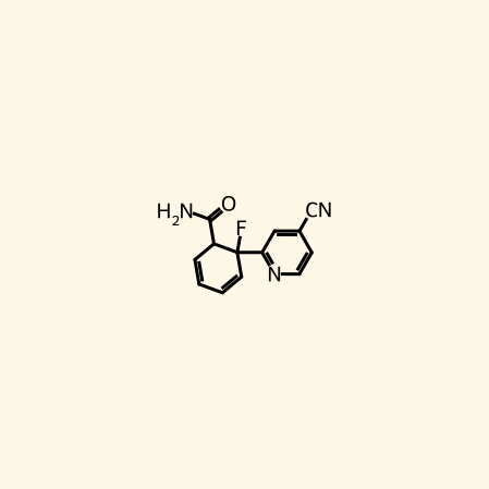 N#Cc1ccnc(C2(F)C=CC=CC2C(N)=O)c1